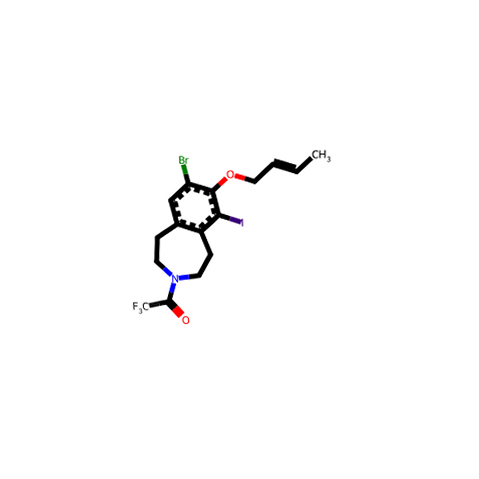 CC=CCOc1c(Br)cc2c(c1I)CCN(C(=O)C(F)(F)F)CC2